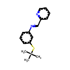 C[Si](C)(C)Sc1cccc(/N=C/c2ccccn2)c1